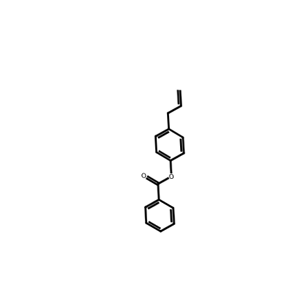 C=CCc1ccc(OC(=O)c2ccccc2)cc1